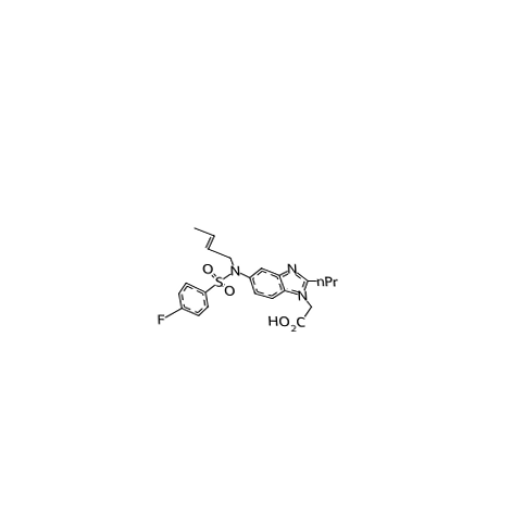 CC=CCN(c1ccc2c(c1)nc(CCC)n2CC(=O)O)S(=O)(=O)c1ccc(F)cc1